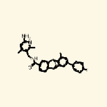 Cc1cc(N)nc(C)c1CNC(=O)c1ccc2c(c1)C1OC2c2cc(-c3ccc(F)cc3)cc(C)c21